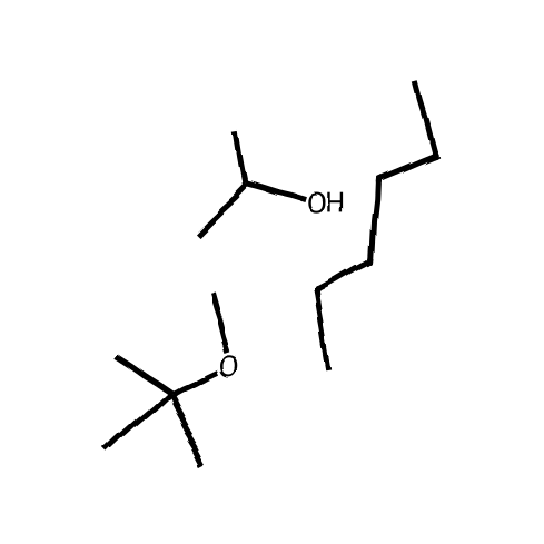 CC(C)O.CCCCCC.COC(C)(C)C